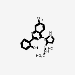 Cc1ccc2c([C@H]3NCCC3CNC(=O)O)nc(-c3ccccc3O)nc2c1.Cl